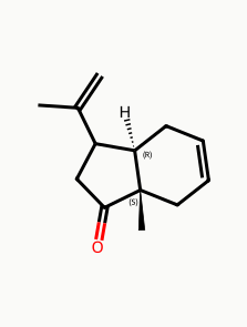 C=C(C)C1CC(=O)[C@@]2(C)CC=CC[C@H]12